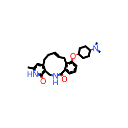 Cc1cc2c(c(=O)[nH]1)CNC(=O)c1cccc(O[C@H]3CC[C@H](N(C)C)CC3)c1C/C=C/CC2